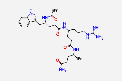 CCCC(=O)N[C@H](CCC(=O)N[C@@H](CCCNC(=N)N)CCC(=O)N[C@H](CCC(N)=O)C(C)C)Cc1c[nH]c2ccccc12